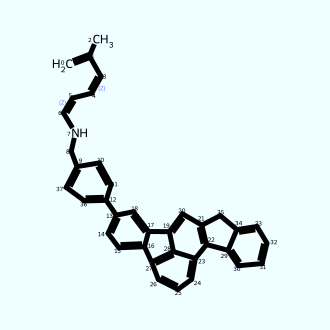 C=C(C)/C=C\C=C/NCc1ccc(-c2ccc3c(c2)-c2cc4c(c5cccc-3c25)-c2ccccc2C4)cc1